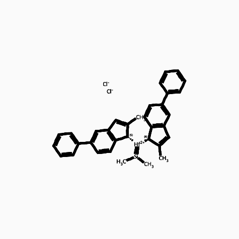 CC1=Cc2cc(-c3ccccc3)ccc2[C@@H]1[Hf+2]([C@H]1C(C)=Cc2cc(-c3ccccc3)ccc21)=[Si](C)C.[Cl-].[Cl-]